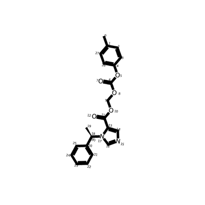 Cc1ccc(OC(=O)OCOC(=O)c2cncn2[C@H](C)c2ccccc2)cc1